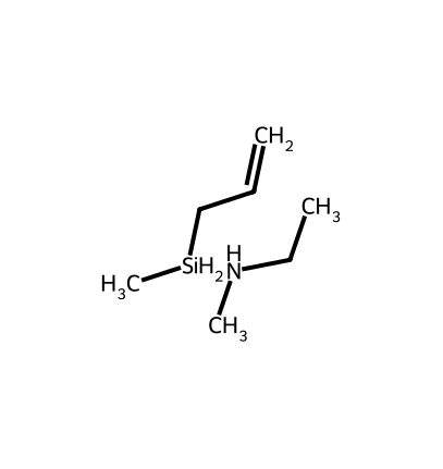 C=CC[SiH2]C.CCNC